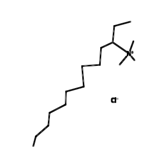 CCCCCCCCCCC(CC)[N+](C)(C)C.[Cl-]